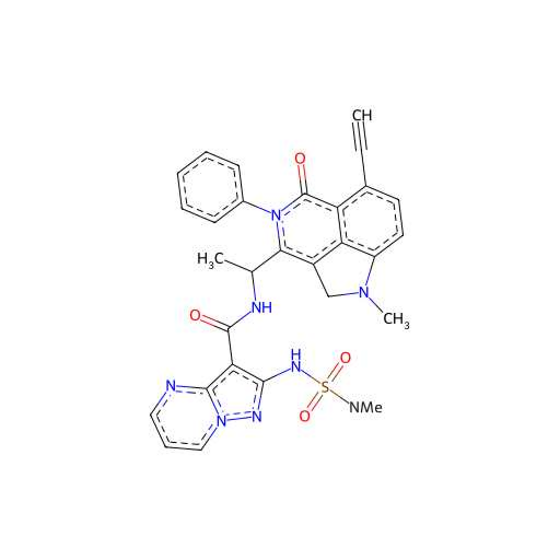 C#Cc1ccc2c3c(c(C(C)NC(=O)c4c(NS(=O)(=O)NC)nn5cccnc45)n(-c4ccccc4)c(=O)c13)CN2C